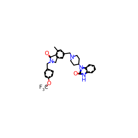 Cc1cc(CN2CCC(n3c(=O)[nH]c4ccccc43)CC2)cc2c1C(=O)N(Cc1ccc(OC(F)(F)F)cc1)C2